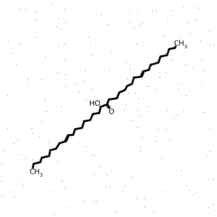 CCCCCCCCC=CCCCCCCCC(=O)C(O)CCCCCCCC=CCCCCCCCC